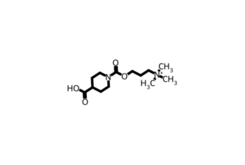 C[N+](C)(C)CCCOC(=O)N1CCC(C(=O)O)CC1